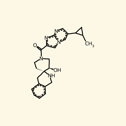 CC1CC1c1cnc2nc(C(=O)N3CC[C@]4(Cc5ccccc5CN4)[C@H](O)C3)cn2c1